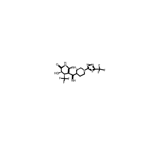 N=C(C1=C(N)NC(=O)[C@H](O)[C@@H]1C(F)(F)F)C1CCN(c2nnc(C(F)(F)F)s2)CC1